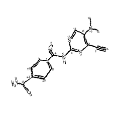 C#Cc1nc(NC(=O)c2ccc(C(N)=O)cc2)ncc1N(C)C